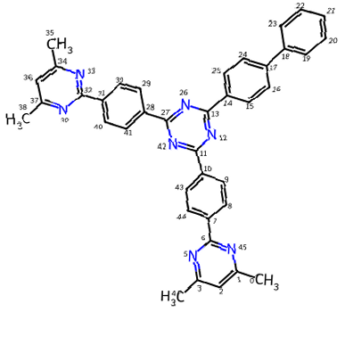 Cc1cc(C)nc(-c2ccc(-c3nc(-c4ccc(-c5ccccc5)cc4)nc(-c4ccc(-c5nc(C)cc(C)n5)cc4)n3)cc2)n1